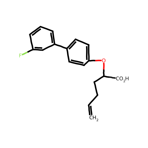 C=CCCC(Oc1ccc(-c2cccc(F)c2)cc1)C(=O)O